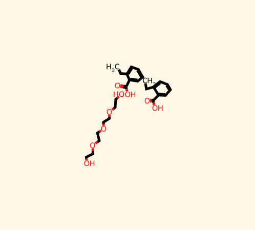 CCc1ccccc1C(=O)O.CCc1ccccc1C(=O)O.OCCOCCOCCOCCO